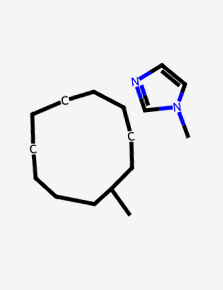 CC1CCCCCCCCCC1.Cn1ccnc1